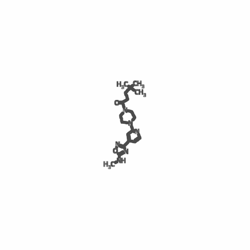 CNc1nc(-c2ccnc(N3CCN(C(=O)CCC(C)(C)C)CC3)c2)no1